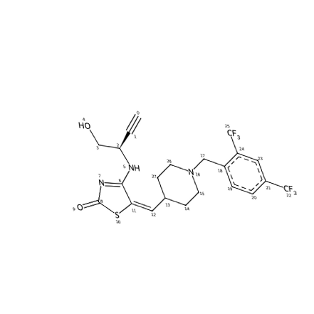 C#C[C@H](CO)NC1=NC(=O)SC1=CC1CCN(Cc2ccc(C(F)(F)F)cc2C(F)(F)F)CC1